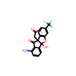 NC(=O)CC12C(=O)c3c(N)cccc3C1(O)Oc1cc(C(F)(F)F)ccc12